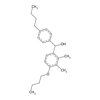 CCCCOc1ccc(C(O)c2ccc(CCCC)cc2)c(C)c1C